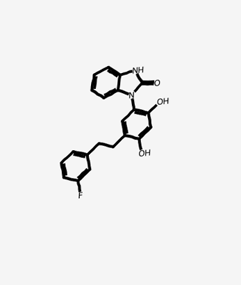 O=c1[nH]c2ccccc2n1-c1cc(CCc2cccc(F)c2)c(O)cc1O